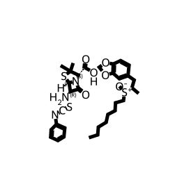 CC1(C)S[C@@H]2[C@H](N)C(=O)N2[C@H]1C(=O)O.CCCCCCCC[S+]([O-])C(C)Cc1ccc2c(c1)OCO2.S=C=Nc1ccccc1